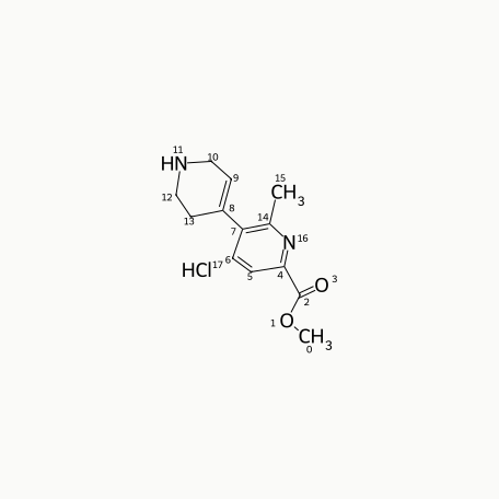 COC(=O)c1ccc(C2=CCNCC2)c(C)n1.Cl